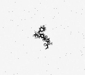 CCC(=O)N[C@H]1CCN(S(=O)(=O)c2ccc3c(c2)nc(C(C)(C)C)n3CC2CCC(F)(F)CC2)C1